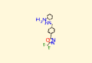 Nc1ccccc1NCc1ccc(-c2nnc(C(F)F)o2)cc1